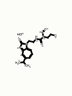 CC(C)c1cccc2n(CCNC(=O)N(CCCl)N=O)c(=O)nc-2c1.Cl